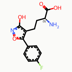 N[C@@H](CCc1c(O)noc1-c1ccc(F)cc1)C(=O)O